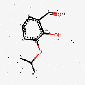 CC(C)Oc1cccc(C=O)c1O